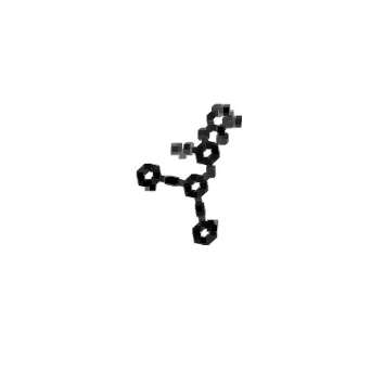 CCC(Oc1ccc(Sc2cc(C#Cc3ccccn3)cc(C#Cc3ccccn3)c2)cc1C)C(=O)O